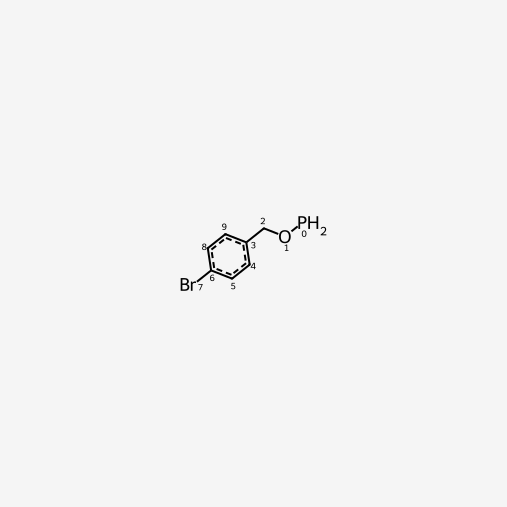 POCc1ccc(Br)cc1